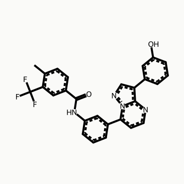 Cc1ccc(C(=O)Nc2cccc(-c3ccnc4c(-c5cccc(O)c5)cnn34)c2)cc1C(F)(F)F